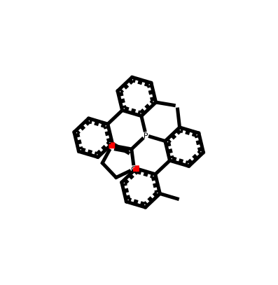 Cc1ccccc1-c1cccc(C)c1P(C1=NCCO1)c1c(C)cccc1-c1ccccc1C